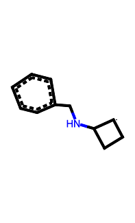 [CH]1CCC1NCc1ccccc1